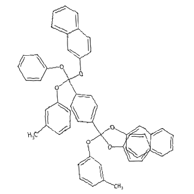 Cc1cccc(OC(Oc2ccccc2)(Oc2ccc3ccccc3c2)c2ccc(C(Oc3ccccc3)(Oc3cccc(C)c3)Oc3ccc4ccccc4c3)cc2)c1